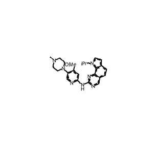 COc1cc(Nc2ncc3ccc4ccn(C(C)C)c4c3n2)ncc1N1CCN(C)CC1